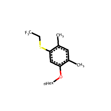 [CH2]CCCCCOc1cc(SCC(F)(F)F)c(C)cc1C